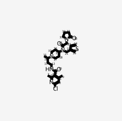 Cc1cc(Cl)nc(C)c1C(=O)NCCC(C)N1CCC(N(Cc2ccsc2)C(=O)CN2CCCC2=O)CC1